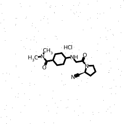 CN(C)C(=O)C1CCC(NCC(=O)N2CCC[C@H]2C#N)CC1.Cl